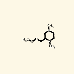 CSOCC1CN(C)CCN1C